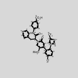 COc1cn(C(Cc2ccncc2)C(=O)Nc2ccc(C(=O)O)cc2)c(=O)cc1-c1cc(Cl)ccc1-n1cc(C(F)(F)F)nn1